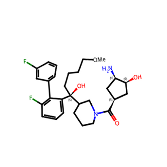 COCCCC[C@@](O)(c1cccc(F)c1-c1cccc(F)c1)C1CCCN(C(=O)[C@H]2C[C@@H](N)[C@@H](O)C2)C1